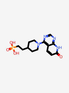 O=c1ccc2c(N3CCC(CCP(=O)(O)O)CC3)ncnc2[nH]1